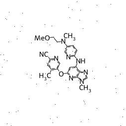 COCCN(C)c1ccc(Nc2cc(Oc3cnc(C#N)cc3C)nc3c2ncn3C)nc1